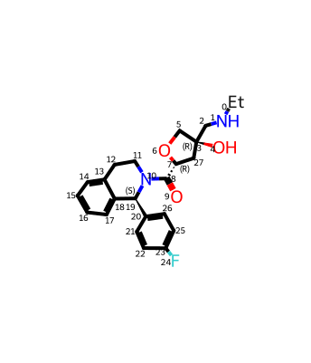 CCNC[C@@]1(O)CO[C@@H](C(=O)N2CCc3ccccc3[C@@H]2c2ccc(F)cc2)C1